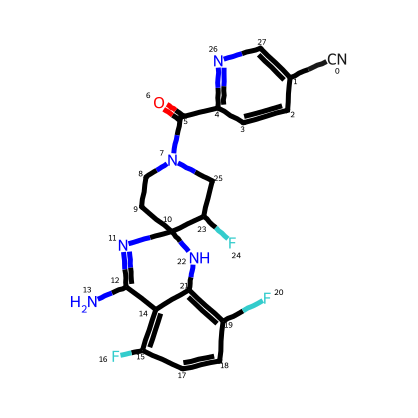 N#Cc1ccc(C(=O)N2CCC3(N=C(N)c4c(F)ccc(F)c4N3)C(F)C2)nc1